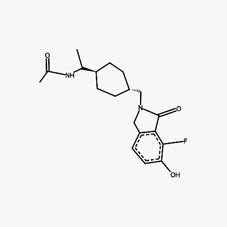 CC(=O)NC(C)[C@H]1CC[C@H](CN2Cc3ccc(O)c(F)c3C2=O)CC1